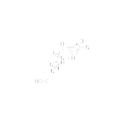 CC1(C)C(NC(=O)c2cnc(N3CCC(C(=O)O)CC3)nc2)C(C)(C)C1Oc1ccc(C#N)c(Cl)c1